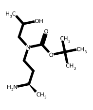 CC(O)CN(CC[C@@H](C)N)C(=O)OC(C)(C)C